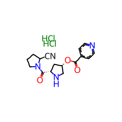 Cl.Cl.N#CC1CCCN1C(=O)[C@@H]1C[C@H](OC(=O)c2ccncc2)CN1